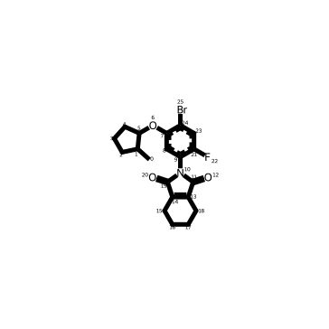 CC1CCCC1Oc1cc(N2C(=O)C3=C(CCCC3)C2=O)c(F)cc1Br